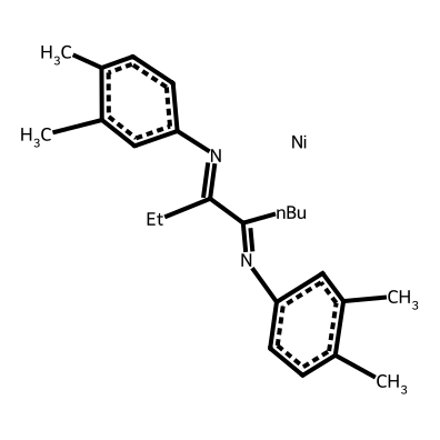 CCCCC(=N\c1ccc(C)c(C)c1)/C(CC)=N/c1ccc(C)c(C)c1.[Ni]